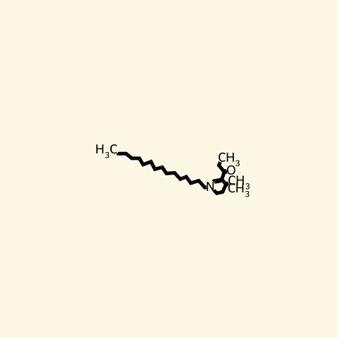 CCCCCCCCCCCCCCCCN1C=C(C(=O)CC)C(C)(C)CC1